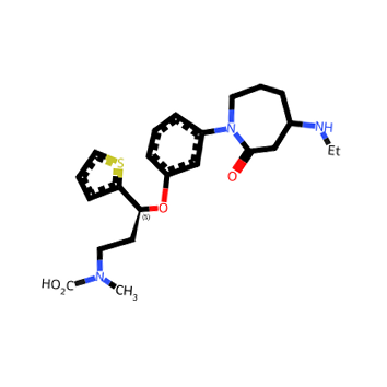 CCNC1CCCN(c2cccc(O[C@@H](CCN(C)C(=O)O)c3cccs3)c2)C(=O)C1